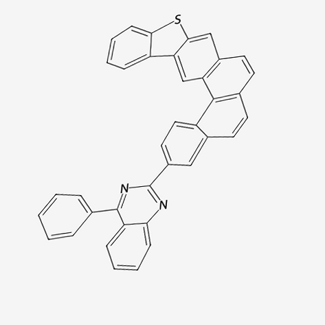 c1ccc(-c2nc(-c3ccc4c(ccc5ccc6cc7sc8ccccc8c7cc6c54)c3)nc3ccccc23)cc1